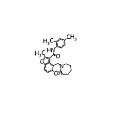 Cc1ccc(NC(=O)c2c(C)oc3ccc(O)c(CN4CCCCCC4)c23)c(C)c1